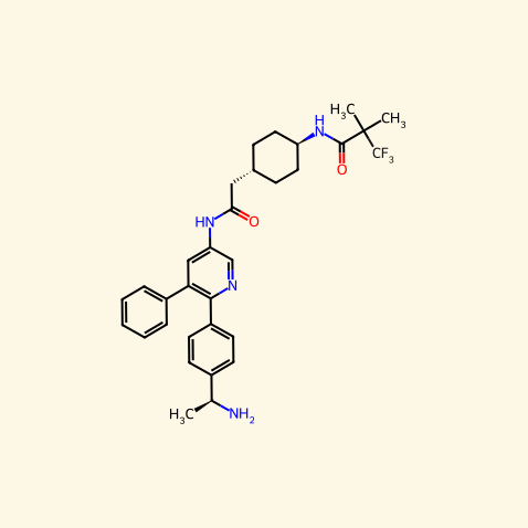 C[C@H](N)c1ccc(-c2ncc(NC(=O)C[C@H]3CC[C@H](NC(=O)C(C)(C)C(F)(F)F)CC3)cc2-c2ccccc2)cc1